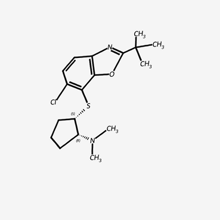 CN(C)[C@@H]1CCC[C@@H]1Sc1c(Cl)ccc2nc(C(C)(C)C)oc12